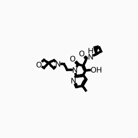 Cc1cnc2c(c1)c(O)c(C(=O)NC13CC(C1)C3)c(=O)n2CCN1CC2(COC2)C1